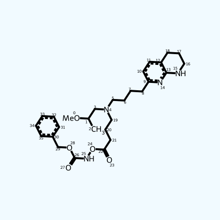 COC(C)CN(CCCCc1ccc2c(n1)NCCC2)CCCC(=O)ONC(=O)OCc1ccccc1